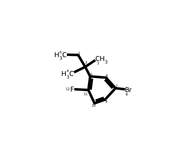 CCC(C)(C)c1cc(Br)ccc1F